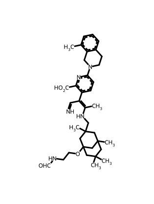 C/C(NCC1(C)CC2(C)CC(C)(C)CC(OCCNC=O)(C1)C2)=C(/C=N)c1ccc(N2CCc3cccc(C)c3C2)nc1C(=O)O